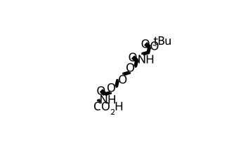 CC(C)(C)OC(=O)CCNC(=O)COCCOCCOCC(=O)NCC(=O)O